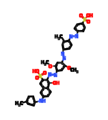 COc1cc(N=Nc2c(S(=O)(=O)O)cc3cc(Nc4ccc(C)cc4)ccc3c2O)c(OC)cc1N=Nc1ccc(N=Nc2ccc(S(=O)(=O)O)cc2)c(C)c1